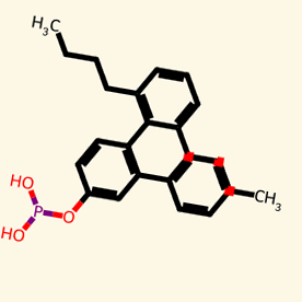 CCCCc1cccc(CCCC)c1-c1ccc(OP(O)O)cc1-c1ccccc1